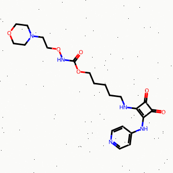 O=C(NOCCN1CCOCC1)OCCCCCNc1c(Nc2ccncc2)c(=O)c1=O